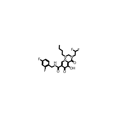 CCCCN1CN(CC(F)F)C(=O)c2c(O)c(=O)c(C(=O)NCc3ccc(F)cc3F)cn21